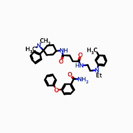 CCN(CCNC(=O)CCC(=O)NC1CCC(c2ccccc2)(N(C)C)CC1)c1cccc(C)c1.NC(=O)c1cccc(Oc2ccccc2)c1